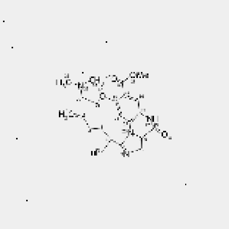 C=CCCC(CCC)c1ncc2c(=O)[nH]c3cc(C(=O)OC)c(OCCN(C)C)cc3n12